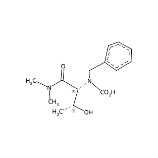 C[C@@H](O)[C@H](C(=O)N(C)C)N(Cc1ccccc1)C(=O)O